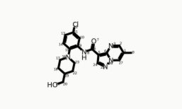 Cc1cnc2c(C(=O)Nc3cc(Cl)ccc3N3CCC(CO)CC3)cnn2c1